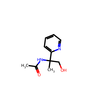 CC(=O)NC(C)(CO)c1ccccn1